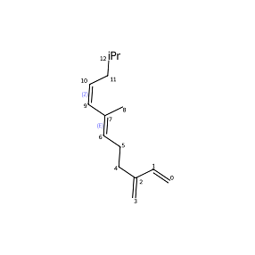 C=CC(=C)CC/C=C(C)/C=C\CC(C)C